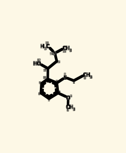 CCSc1c(OC)cccc1C(O)CN(C)C